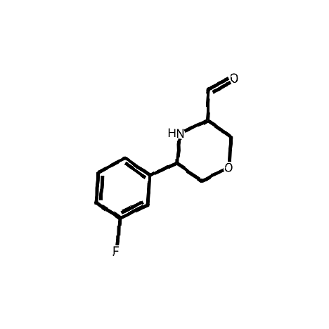 O=CC1COCC(c2cccc(F)c2)N1